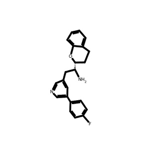 NC(Cc1cncc(-c2ccc(F)cc2)c1)[C@H]1CCc2ccccc2O1